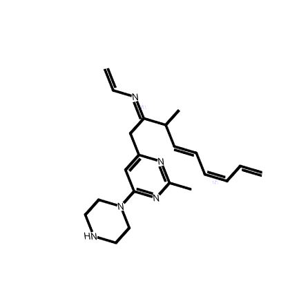 C=C/C=C\C=CC(C)/C(Cc1cc(N2CCNCC2)nc(C)n1)=N/C=C